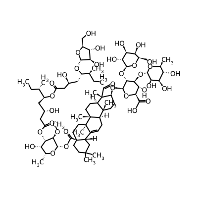 CC[C@H](C)[C@H](C[C@H](O)CC(=O)O[C@H]1[C@@H](O)[C@@H](C)O[C@@H](OC(=O)[C@]23CCC(C)(C)C[C@H]2C2=CC[C@@H]4[C@@]5(C)CC[C@H](O[C@@H]6O[C@H](C(=O)O)[C@@H](O)[C@H](O[C@@H]7O[C@@H](C)[C@H](O)[C@@H](O)[C@H]7O)[C@H]6O[C@@H]6O[C@H](CO)[C@H](O)[C@H](O)[C@H]6O)[C@@](C)(C=O)[C@@H]5CC[C@@]4(C)[C@]2(C)CC3)[C@@H]1OC)OC(=O)C[C@@H](O)C[C@H](O[C@@H]1O[C@@H](CO)[C@H](O)[C@H]1O)[C@@H](C)CC